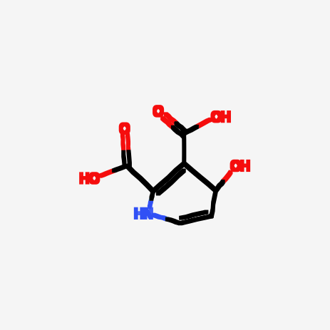 O=C(O)C1=C(C(=O)O)C(O)C=CN1